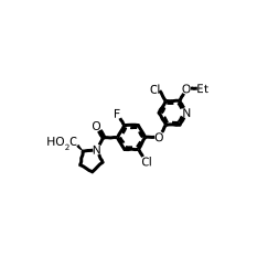 CCOc1ncc(Oc2cc(F)c(C(=O)N3CCC[C@H]3C(=O)O)cc2Cl)cc1Cl